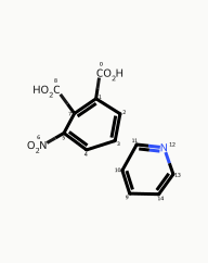 O=C(O)c1cccc([N+](=O)[O-])c1C(=O)O.c1ccncc1